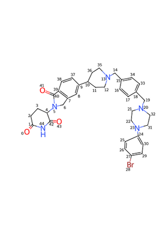 O=C1CCC(N2Cc3cc(C4CCN(Cc5ccc(CN6CCN(c7ccc(Br)cc7)CC6)cc5)CC4)ccc3C2=O)C(=O)N1